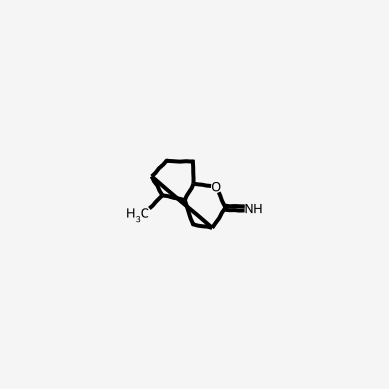 CC1C2CC3C(=N)OC2CCC31